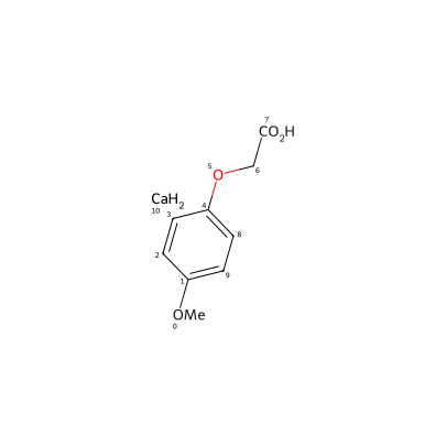 COc1ccc(OCC(=O)O)cc1.[CaH2]